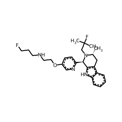 C[C@@H]1Cc2c([nH]c3ccccc23)[C@@H](c2ccc(OCCNCCCF)cn2)N1CC(C)(C)F